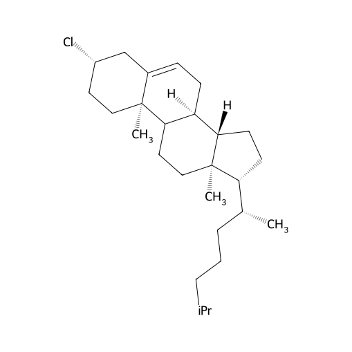 CC(C)CCC[C@@H](C)[C@H]1CC[C@H]2[C@@H]3CC=C4C[C@@H](Cl)CC[C@]4(C)C3CC[C@]12C